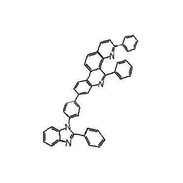 c1ccc(-c2ccc3ccc4c5ccc(-c6ccc(-n7c(-c8ccccc8)nc8ccccc87)cc6)cc5nc(-c5ccccc5)c4c3n2)cc1